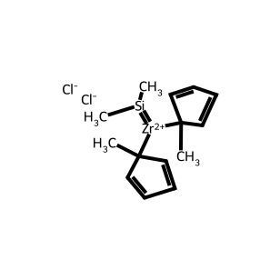 C[Si](C)=[Zr+2]([C]1(C)C=CC=C1)[C]1(C)C=CC=C1.[Cl-].[Cl-]